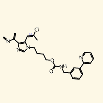 C=NC(=C)c1ncn(CCCCOC(=O)NCc2cccc(-c3ccccn3)c2)c1/C=C(\C)Cl